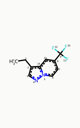 CCc1cnn2ccc(C(F)(F)F)cc12